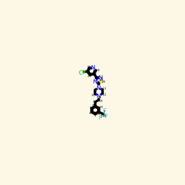 FC(F)(F)c1cccc(CCN2CCN(c3nc(-c4cncc(Cl)c4)ns3)CC2)c1